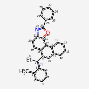 C=c1cccc/c1=C(/CC)c1cc2ccccc2c2c1ccc1nc(-c3ccccc3)oc12